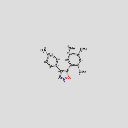 COc1cc(OC)c(-c2oncc2-c2ccc([N+](=O)[O-])cc2)cc1OC